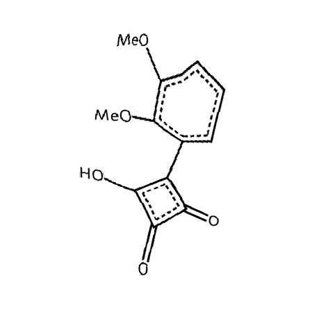 COc1cccc(-c2c(O)c(=O)c2=O)c1OC